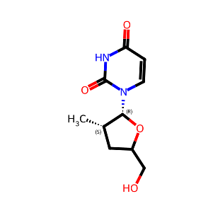 C[C@H]1CC(CO)O[C@H]1n1ccc(=O)[nH]c1=O